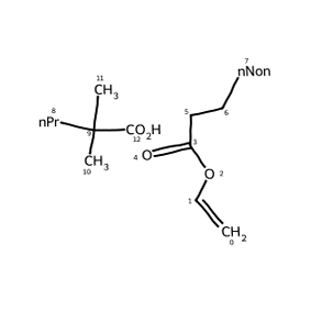 C=COC(=O)CCCCCCCCCCC.CCCC(C)(C)C(=O)O